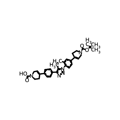 Cc1cc(C2=CCN(C(=O)OC(C)(C)C)CC2)ccc1-n1nnc(-c2ccc(C3=CCN(C(=O)O)CC3)cc2)c1C